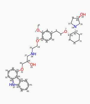 COc1cc(CCO[C@H]2CCCC[C@H]2N2CC[C@@H](O)C2)ccc1OCCNCC(O)COc1cccc2[nH]c3ccccc3c12